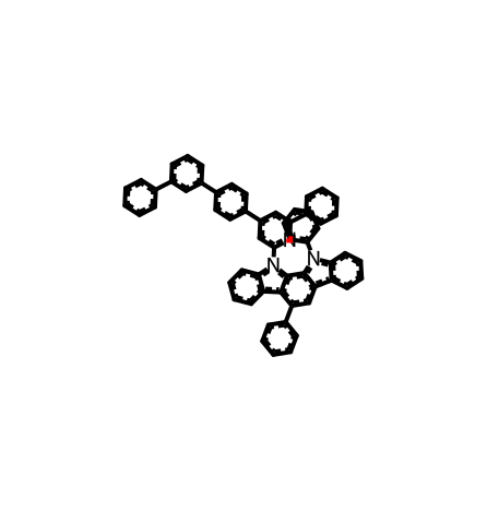 c1ccc(-c2cccc(-c3ccc(-c4cc(-c5ccccc5)nc(-n5c6ccccc6c6c(-c7ccccc7)cc7c8ccccc8n(-c8ccccc8)c7c65)c4)cc3)c2)cc1